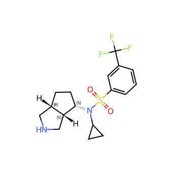 O=S(=O)(c1cccc(C(F)(F)F)c1)N(C1CC1)[C@H]1CC[C@H]2CNC[C@H]21